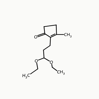 CCOC(CCC1=C(C)CCC1=O)OCC